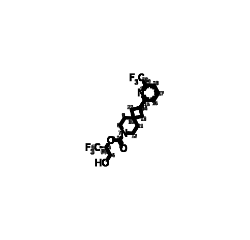 O=C(O[C@H](CO)C(F)(F)F)N1CCC2(CC1)CC(c1cccc(C(F)(F)F)n1)C2